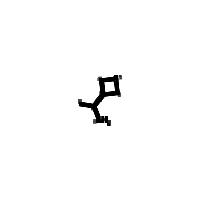 CC(N)C1CSC1